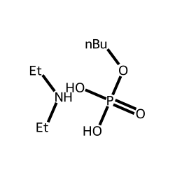 CCCCOP(=O)(O)O.CCNCC